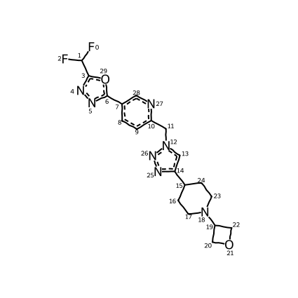 FC(F)c1nnc(-c2ccc(Cn3cc(C4CCN(C5COC5)CC4)nn3)nc2)o1